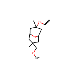 C=COC1(C)CC2CC(C)(COCCC)CC(C1)O2